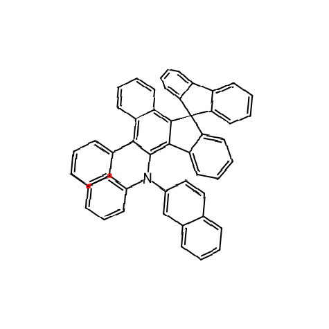 c1ccc(-c2c(N(c3ccccc3)c3ccc4ccccc4c3)c3c(c4ccccc24)C2(c4ccccc4-c4ccccc42)c2ccccc2-3)cc1